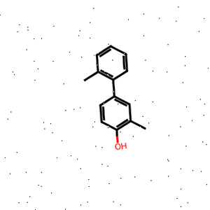 Cc1[c]cccc1-c1ccc(O)c(C)c1